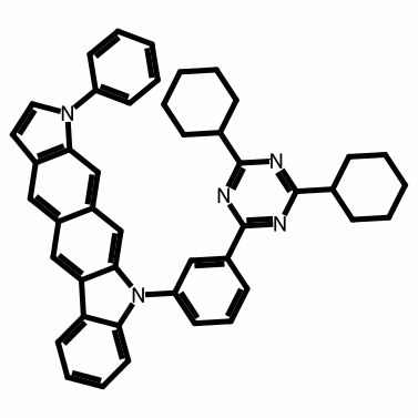 c1ccc(-n2ccc3cc4cc5c6ccccc6n(-c6cccc(-c7nc(C8CCCCC8)nc(C8CCCCC8)n7)c6)c5cc4cc32)cc1